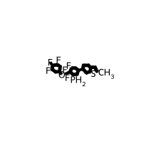 Cc1cc2ccc(-c3cc(F)c(C(F)(F)Oc4cc(F)c(F)c(F)c4)c(P)c3)cc2s1